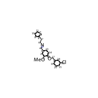 COc1cc(/C=N/CCc2cccs2)ccc1OCc1cccc(Cl)c1